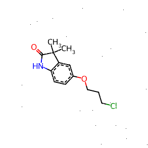 CC1(C)C(=O)Nc2ccc(OCCCCl)cc21